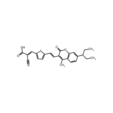 CCN(CC)c1ccc2c(C)c(/C=C/c3ccc(/C=C(\C#N)C(=O)O)s3)c(=O)oc2c1